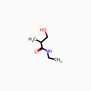 CCNC(=O)C(C)CO